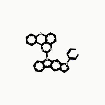 C/C=C\C(=C/C)n1ccc2cc3c4ccccc4n(-c4nc5c6c(cccc6n4)Oc4ccccc4-5)c3cc21